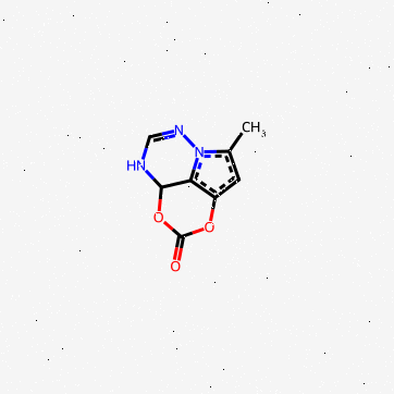 Cc1cc2c3n1N=CNC3OC(=O)O2